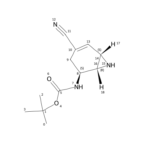 CC(C)(C)OC(=O)N[C@H]1CC(C#N)=C[C@@H]2N[C@@H]21